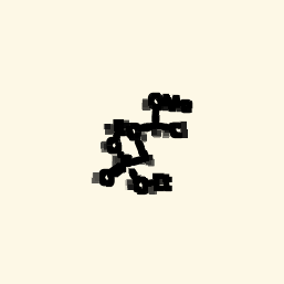 CCOP(=O)(COC(Cl)OC)OCC